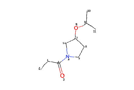 CCC(=O)N1CCC(OC(C)C)C1